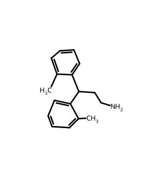 Cc1ccccc1C(CCN)c1ccccc1C